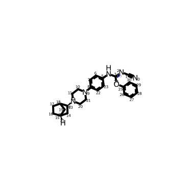 N#C/N=C(/Nc1ccc(N2CCN([C@H]3C[C@@H]4CCC3C4)CC2)cc1)Oc1ccccc1